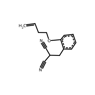 C=CCCOc1ccccc1CC(C#N)C#N